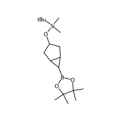 CC1(C)OB(C2C3CC(O[Si](C)(C)C(C)(C)C)CC32)OC1(C)C